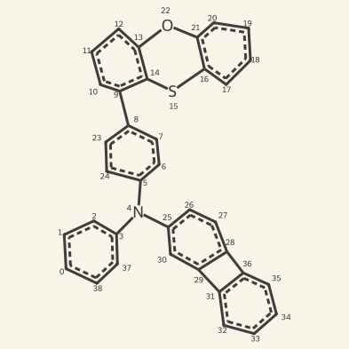 c1ccc(N(c2ccc(-c3cccc4c3Sc3ccccc3O4)cc2)c2ccc3c(c2)-c2ccccc2-3)cc1